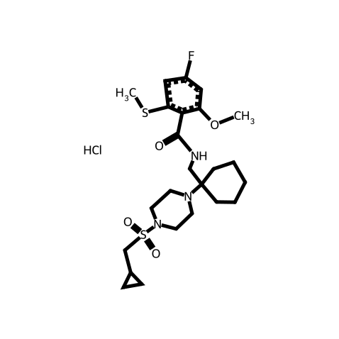 COc1cc(F)cc(SC)c1C(=O)NCC1(N2CCN(S(=O)(=O)CC3CC3)CC2)CCCCC1.Cl